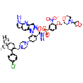 CC1(C)CCC(CN2CCN(c3ccc(C(=O)NS(=O)(=O)c4ccc(OC[C@H]5CN(C6COC6)CCO5)c([N+](=O)[O-])c4)c(-n4ncc5nc6[nH]ccc6cc54)c3)CC2)=C(c2ccc(Cl)cc2)C1